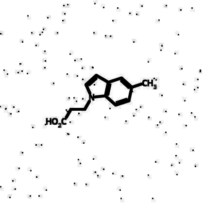 Cc1ccc2c(ccn2CCC(=O)O)c1